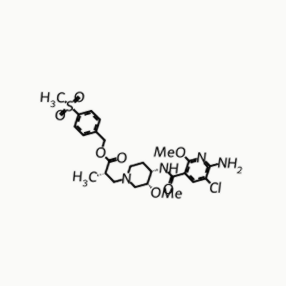 COc1nc(N)c(Cl)cc1C(=O)N[C@H]1CCN(C[C@H](C)C(=O)OCc2ccc(S(C)(=O)=O)cc2)C[C@H]1OC